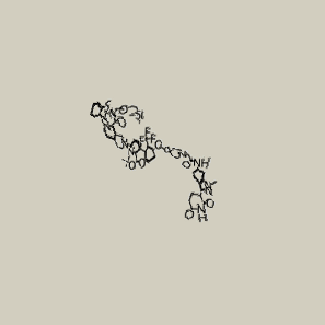 Cn1nc(C2CCC(=O)NC2=O)c2ccc(NC(=O)CN3CCC4(CC3)CC(Oc3cccc(-c5ccc(N6CCc7ccnc(C(=O)N(COCC[Si](C)(C)C)c8nc9ccccc9s8)c7C6)nc5C(=O)OC(C)(C)C)c3C(F)(F)F)C4)cc21